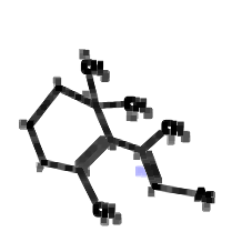 CC(=O)/C=C(\C)C1=C(C)CCCC1(C)C